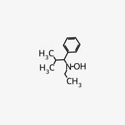 CCN(O)C(c1ccccc1)C(C)C